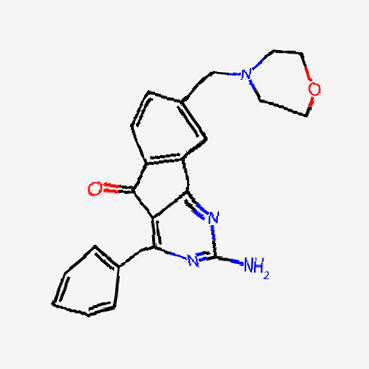 Nc1nc(-c2ccccc2)c2c(n1)-c1cc(CN3CCOCC3)ccc1C2=O